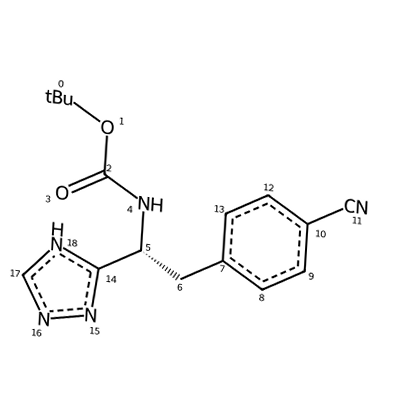 CC(C)(C)OC(=O)N[C@H](Cc1ccc(C#N)cc1)c1nnc[nH]1